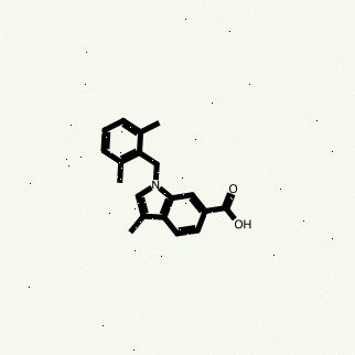 Cc1cccc(C)c1Cn1cc(C)c2ccc(C(=O)O)cc21